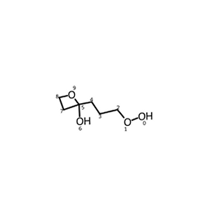 OOCCCC1(O)CCO1